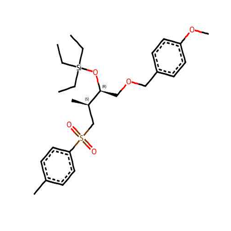 CC[Si](CC)(CC)O[C@@H](COCc1ccc(OC)cc1)[C@H](C)CS(=O)(=O)c1ccc(C)cc1